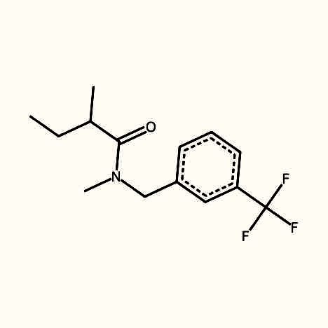 CCC(C)C(=O)N(C)Cc1cccc(C(F)(F)F)c1